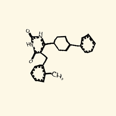 Cc1ccccc1Cc1c(C2CCC(c3ccccc3)CC2)[nH]c(=O)[nH]c1=O